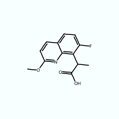 COc1ccc2ccc(F)c(C(C)C(=O)O)c2n1